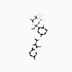 Cc1c(C(=O)Nc2ccc(F)c(C3(CF)CS(O)(O)C(C)(C)C(N)=N3)c2)nc2ccc(Cl)cn12